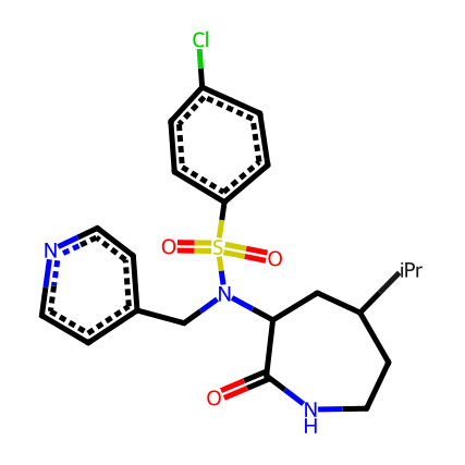 CC(C)C1CCNC(=O)C(N(Cc2ccncc2)S(=O)(=O)c2ccc(Cl)cc2)C1